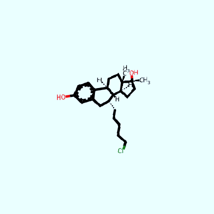 C[C@]12CC[C@@H]3c4ccc(O)cc4C[C@@H](CCCCCCl)[C@H]3[C@@H]1CC[C@@]2(C)O